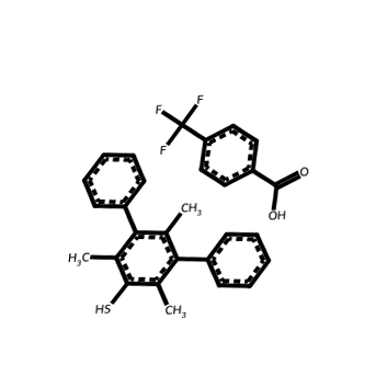 Cc1c(S)c(C)c(-c2ccccc2)c(C)c1-c1ccccc1.O=C(O)c1ccc(C(F)(F)F)cc1